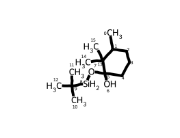 CC1CCCC(O)(O[SiH2]C(C)(C)C)C1(C)C